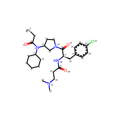 CC(C)CC(=O)N(C1CCCCC1)C1CCN(C(=O)[C@@H](Cc2ccc(Cl)cc2)NC(=O)CCN(C)C)C1